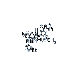 CCCN(CCC)C(=O)c1cc(CN(C)C)cc(C(=O)NC(Cc2cc(F)cc(F)c2)C(O)CNCc2cccc(CC)c2)c1